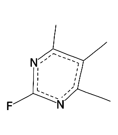 Cc1nc(F)nc(C)c1C